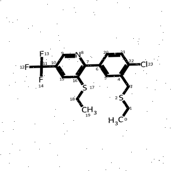 CCSCc1cc(-c2ncc(C(F)(F)F)cc2SCC)ccc1Cl